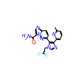 Cc1cccc(-c2ncn(CC(F)F)c2-c2ccc3ncc(C(N)=O)n3n2)n1